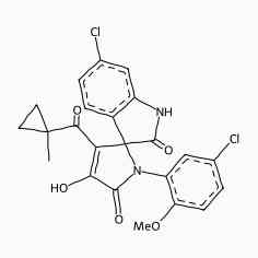 COc1ccc(Cl)cc1N1C(=O)C(O)=C(C(=O)C2(C)CC2)C12C(=O)Nc1cc(Cl)ccc12